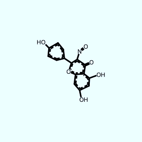 O=Nc1c(-c2ccc(O)cc2)oc2cc(O)cc(O)c2c1=O